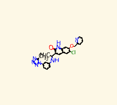 Cc1nnnn1-c1cccc(NC(C)c2cc3cc(Cl)c(OCc4ccccn4)cc3[nH]c2=O)c1